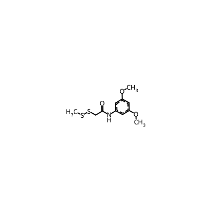 COc1cc(NC(=O)CSSC)cc(OC)c1